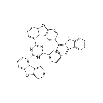 C1=CC2Oc3ccc(-c4cccc5c4sc4ccccc45)cc3C2C(c2nc(-c3ccccc3)nc(-c3cccc4oc5ccccc5c34)n2)=C1